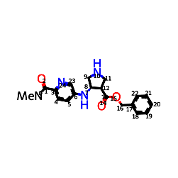 CNC(=O)c1ccc(N[C@H]2CNCC2C(=O)OCc2ccccc2)cn1